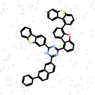 c1ccc(-c2ccc3ccc(C4=NC(c5cccc6oc7c(-c8cccc9sc%10ccccc%10c89)cccc7c56)=NC(c5ccc6c(c5)sc5ccccc56)N4)cc3c2)cc1